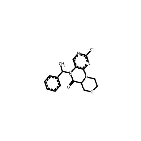 CC(c1ccccc1)N1C(=O)C2COCCN2c2nc(Cl)ncc21